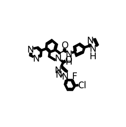 O=C(Nc1ccc(-c2ncc[nH]2)cc1)[C@@H]1c2cccc(-c3cncnc3)c2CCN1C(=O)c1cn(-c2cccc(Cl)c2F)nn1